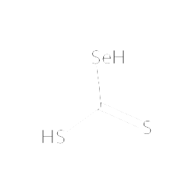 S=C(S)[SeH]